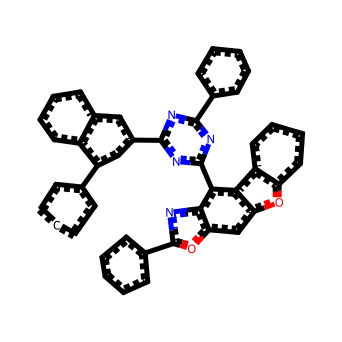 c1ccc(-c2nc(-c3cc(-c4ccccc4)c4ccccc4c3)nc(-c3c4nc(-c5ccccc5)oc4cc4oc5ccccc5c34)n2)cc1